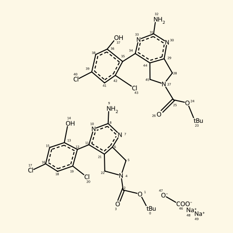 CC(C)(C)OC(=O)N1Cc2nc(N)nc(-c3c(O)cc(Cl)cc3Cl)c2C1.CC(C)(C)OC(=O)N1Cc2nc(N)nc(-c3c(O)cc(Cl)cc3Cl)c2C1.O=C([O-])[O-].[Na+].[Na+]